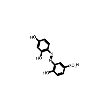 O=S(=O)(O)c1ccc(O)c(N=Nc2ccc(O)cc2O)c1